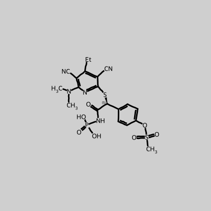 CCc1c(C#N)c(S[C@H](C(=O)NP(=O)(O)O)c2ccc(OS(C)(=O)=O)cc2)nc(N(C)C)c1C#N